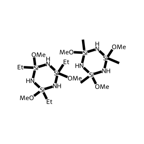 CC[Si]1(OC)N[Si](CC)(OC)N[Si](CC)(OC)N1.CO[Si]1(C)N[Si](C)(OC)N[Si](C)(OC)N1